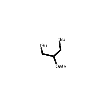 COC(CC(C)(C)C)CC(C)(C)C